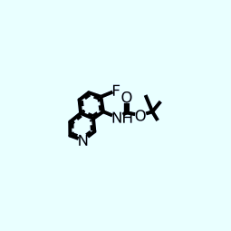 CC(C)(C)OC(=O)Nc1c(F)ccc2ccncc12